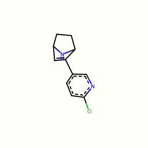 Clc1ccc(C2=CC3CCC2N3)cn1